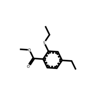 CCSc1cc(CC)ccc1C(=O)OC